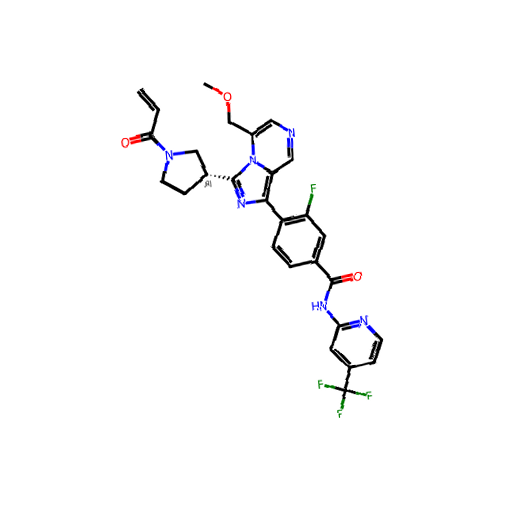 C=CC(=O)N1CC[C@@H](c2nc(-c3ccc(C(=O)Nc4cc(C(F)(F)F)ccn4)cc3F)c3cncc(COC)n23)C1